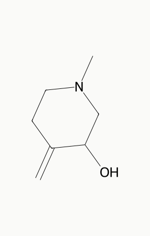 C=C1CCN(C)CC1O